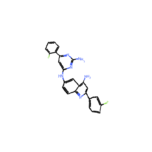 Nc1nc(Nc2ccc3nc(-c4cccc(F)c4)cc(N)c3c2)cc(-c2ccccc2F)n1